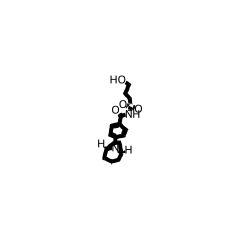 O=C(NS(=O)(=O)CCCO)c1ccc(N2[C@@H]3C[CH]C[C@H]2CC3)cc1